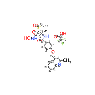 Cc1cc(COc2ccc(C(=O)NC3(CC(=O)NO)CCC[S+]([O-])C3)cc2)c2ccccc2n1.O=C(O)C(F)(F)F